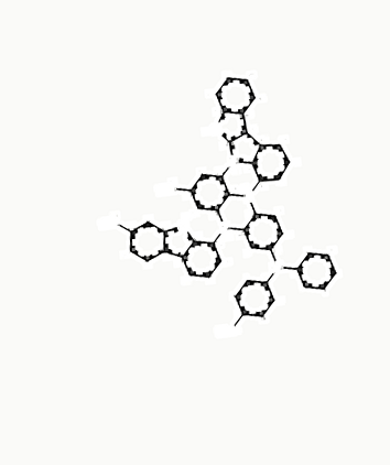 CC(C)(C)c1ccc(N(c2ccccc2)c2ccc3c(c2)N(c2cccc4c2oc2cc(C(C)(C)C)ccc24)c2cc(C(C)(C)C)cc4c2B3c2cccc3c5c6ccccc6oc5n-4c23)cc1